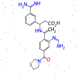 C=C(NC(CC(=O)O)c1cccc(C(=N)N)c1)c1ccc(C(=O)N2CCSC2)cc1/N=C\N